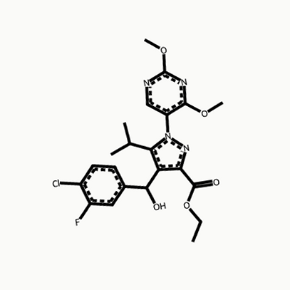 CCOC(=O)c1nn(-c2cnc(OC)nc2OC)c(C(C)C)c1C(O)c1ccc(Cl)c(F)c1